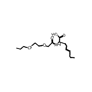 CCCCCC(NC(=O)COCCOCCC)C(=O)O